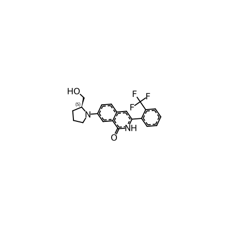 O=c1[nH]c(-c2ccccc2C(F)(F)F)cc2ccc(N3CCC[C@H]3CO)cc12